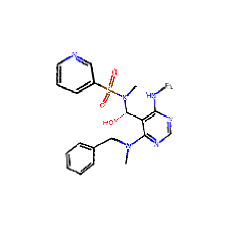 CCNc1ncnc(N(C)Cc2ccccc2)c1[C@H](O)N(C)S(=O)(=O)c1cccnc1